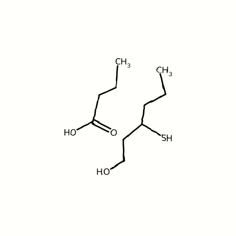 CCCC(=O)O.CCCC(S)CCO